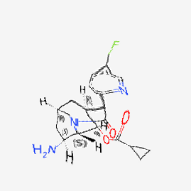 C[C@@H]1C[C@@H]2C[C@H](N)[C@@H]([C@@H]1OC(=O)C1CC1)N(C(=O)c1ccc(F)cn1)C2